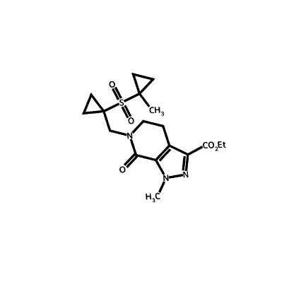 CCOC(=O)c1nn(C)c2c1CCN(CC1(S(=O)(=O)C3(C)CC3)CC1)C2=O